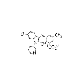 Cc1c(Sc2cc(C(=O)O)cc(C(F)(F)F)c2)c2ccc(Cl)cc2n1-c1cccnc1